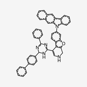 C1=C(C2=NC(c3ccccc3)=NC(c3ccc(-c4ccccc4)cc3)N2)c2c(oc3cc(-n4c5ccccc5c5cc6ccccc6cc54)ccc23)CN1